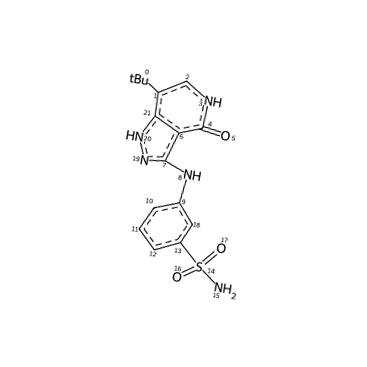 CC(C)(C)c1c[nH]c(=O)c2c(Nc3cccc(S(N)(=O)=O)c3)n[nH]c12